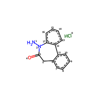 Cl.NN1C(=O)Cc2ccccc2-c2ccccc21